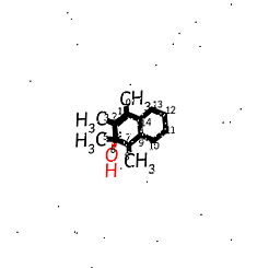 CC1=C(C)C(C)(O)C(C)C2CCCCC12